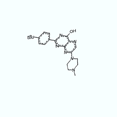 CN1CCN(c2cnc3c(O)nc(-c4ccc(C(C)(C)C)cc4)nc3n2)CC1